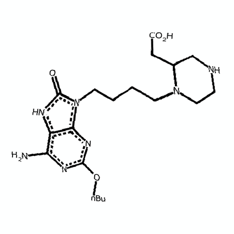 CCCCOc1nc(N)c2[nH]c(=O)n(CCCCN3CCNCC3CC(=O)O)c2n1